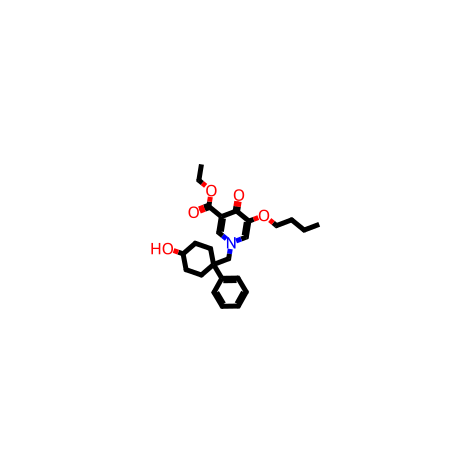 CCCCOc1cn(CC2(c3ccccc3)CCC(O)CC2)cc(C(=O)OCC)c1=O